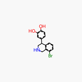 Oc1ccc(C2CNCc3c(Br)cccc32)cc1O